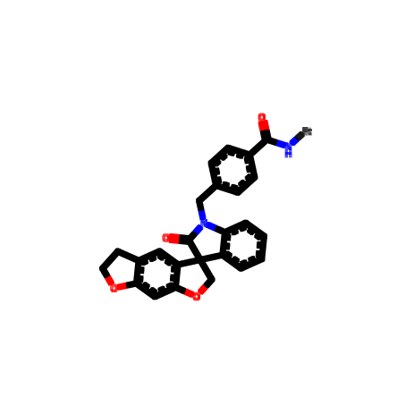 CCNC(=O)c1ccc(CN2C(=O)C3(COc4cc5c(cc43)CCO5)c3ccccc32)cc1